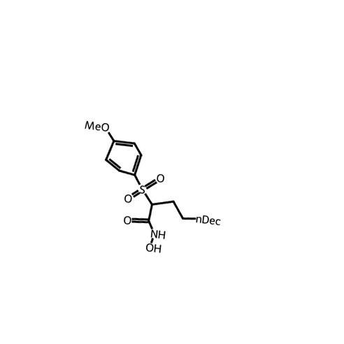 CCCCCCCCCCCCC(C(=O)NO)S(=O)(=O)c1ccc(OC)cc1